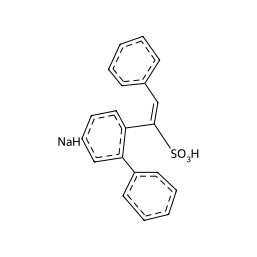 O=S(=O)(O)C(=Cc1ccccc1)c1ccccc1-c1ccccc1.[NaH]